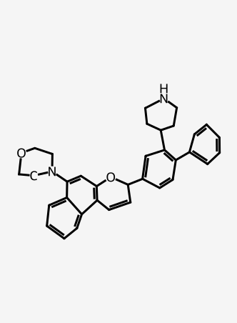 C1=CC(c2ccc(-c3ccccc3)c(C3CCNCC3)c2)Oc2cc(N3CCOCC3)c3ccccc3c21